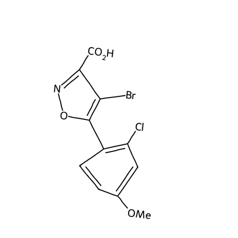 COc1ccc(-c2onc(C(=O)O)c2Br)c(Cl)c1